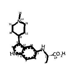 C[C@H](Nc1ccc2[nH]cc(C3CCN(C)CC3)c2c1)C(=O)O